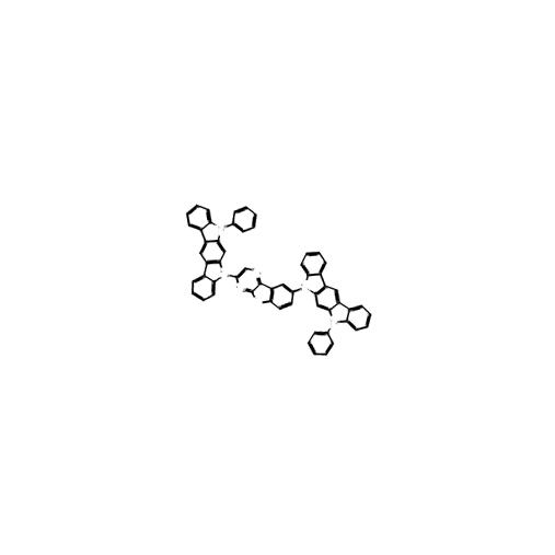 c1ccc(-n2c3ccccc3c3cc4c5ccccc5n(-c5ccc6sc7nc(-n8c9ccccc9c9cc%10c%11ccccc%11n(-c%11ccccc%11)c%10cc98)cnc7c6c5)c4cc32)cc1